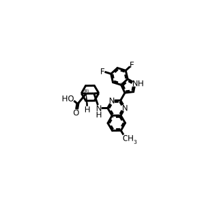 Cc1ccc2c(NC3C4CCC(CC4)[C@H]3C(=O)O)nc(-c3c[nH]c4c(F)cc(F)cc34)nc2c1